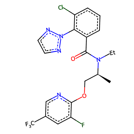 CCN(C(=O)c1cccc(Cl)c1-n1nccn1)[C@@H](C)COc1ncc(C(F)(F)F)cc1F